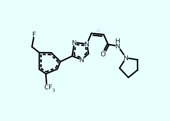 O=C(/C=C\n1cnc(-c2cc(CF)cc(C(F)(F)F)c2)n1)NN1CCCC1